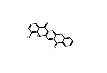 O=c1c2ccccc2[nH]c2cc3c(=O)c4cccc(Cl)c4[nH]c3cc12